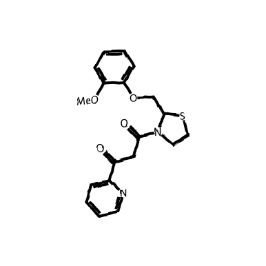 COc1ccccc1OCC1SCCN1C(=O)CC(=O)c1ccccn1